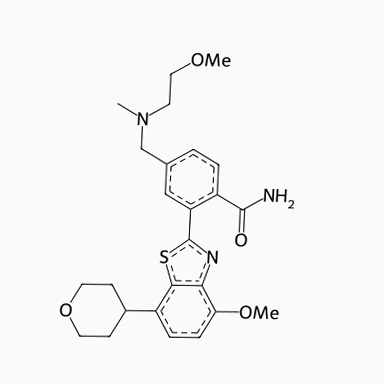 COCCN(C)Cc1ccc(C(N)=O)c(-c2nc3c(OC)ccc(C4CCOCC4)c3s2)c1